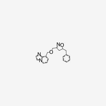 c1ccc(CC2CC(COCc3cccn4ccnc34)=NO2)cc1